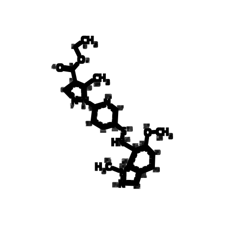 CCOC(=O)c1cnn(-c2ccc(SNc3c(OC)ccc4cnn(C)c34)cn2)c1C